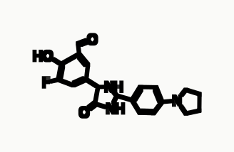 O=Cc1cc(C2NC(c3ccc(N4CCCC4)cc3)NC2=O)cc(F)c1O